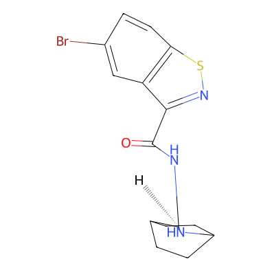 O=C(N[C@@H]1NC2CCC1CC2)c1nsc2ccc(Br)cc12